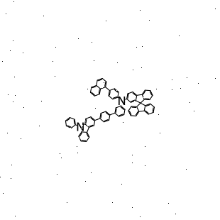 c1ccc(-n2c3ccccc3c3cc(-c4ccc(-c5cccc(N(c6ccc(-c7cccc8ccccc78)cc6)c6ccc7c(c6)C6(c8ccccc8-c8ccccc86)c6ccccc6-7)c5)cc4)ccc32)cc1